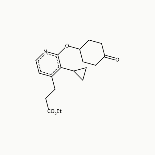 CCOC(=O)CCc1ccnc(OC2CCC(=O)CC2)c1C1CC1